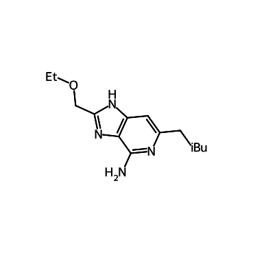 CCOCc1nc2c(N)nc(CC(C)CC)cc2[nH]1